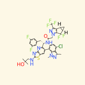 Cc1nn(C)c2c(-c3cc4sc(NCC(C)(C)O)nc4nc3[C@H](Cc3cc(F)cc(F)c3)NC(=O)Cn3nc(C(F)(F)F)c4c3C(F)(F)[C@@H]3C[C@H]43)ccc(Cl)c12